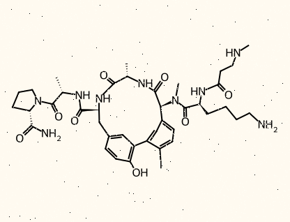 CNCCC(=O)N[C@@H](CCCCN)C(=O)N(C)[C@@H]1C(=O)N[C@@H](C)C(=O)N[C@H](C(=O)N[C@@H](C)C(=O)N2CCC[C@H]2C(N)=O)Cc2ccc(O)c(c2)-c2cc1ccc2I